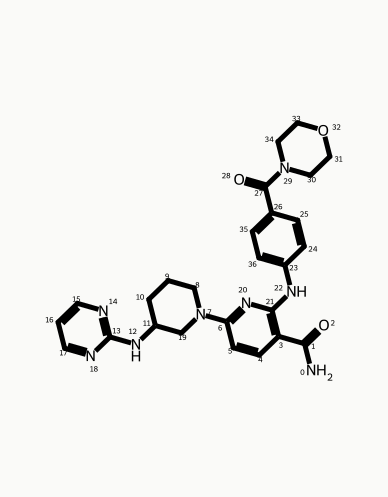 NC(=O)c1ccc(N2CCCC(Nc3ncccn3)C2)nc1Nc1ccc(C(=O)N2CCOCC2)cc1